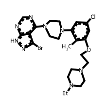 CCN1CCN(CCOc2cc(Cl)cc(N3CCN(c4ncnc5[nH]nc(Br)c45)CC3)c2C)CC1